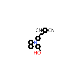 [C-]#[N+]c1ccc(C#N)cc1C=Cc1ccc(N(c2ccc(CO)cc2)c2cccc3ccccc23)cc1